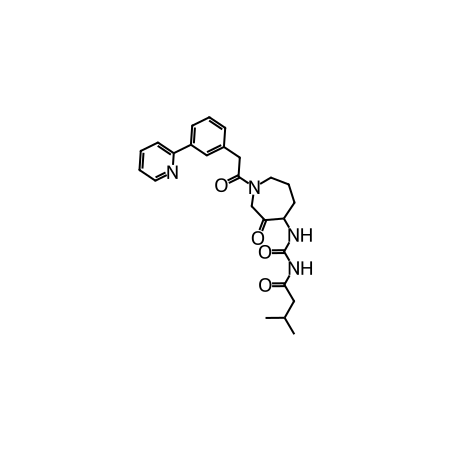 CC(C)CC(=O)NC(=O)NC1CCCN(C(=O)Cc2cccc(-c3ccccn3)c2)CC1=O